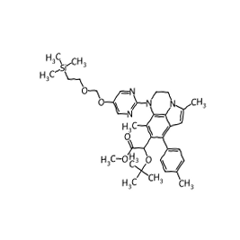 COC(=O)C(OC(C)(C)C)c1c(C)c2c3c(cc(C)n3CCN2c2ncc(OCOCC[Si](C)(C)C)cn2)c1-c1ccc(C)cc1